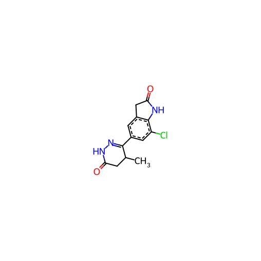 CC1CC(=O)NN=C1c1cc(Cl)c2c(c1)CC(=O)N2